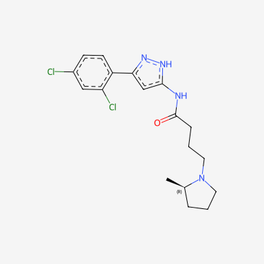 C[C@@H]1CCCN1CCCC(=O)Nc1cc(-c2ccc(Cl)cc2Cl)n[nH]1